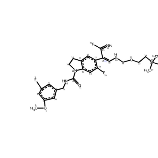 COc1cc(F)cc(CNC(=O)N2CCc3cc(/C(=C/NCOCC[Si](C)(C)C)C(=N)F)c(F)cc32)c1